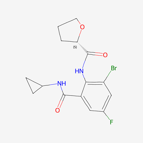 O=C(NC1CC1)c1cc(F)cc(Br)c1NC(=O)[C@@H]1CCCO1